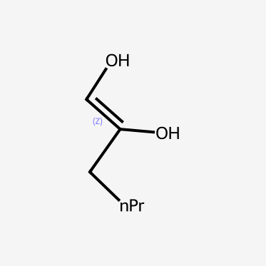 CCCC/C(O)=C/O